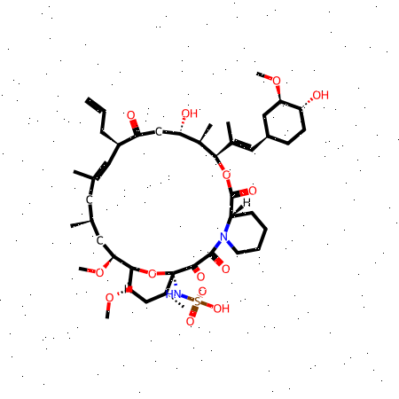 C=CC[C@@H]1/C=C(\C)C[C@H](C)C[C@H](OC)[C@H]2O[C@@](NS(=O)(=O)O)(C(=O)C(=O)N3CCCC[C@H]3C(=O)O[C@H](/C(C)=C/[C@@H]3CC[C@@H](O)[C@H](OC)C3)[C@H](C)[C@@H](O)CC1=O)[C@H](C)C[C@@H]2OC